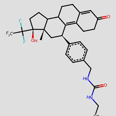 C[C@]12C[C@H](c3ccc(CNC(=O)NCC(=O)O)cc3)C3=C4CCC(=O)C=C4CCC3C1CC[C@@]2(O)C(F)(F)C(F)(F)F